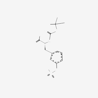 CC(C)(C)OC(=O)N[C@@H](Cc1cccc(OS(=O)(=O)F)c1)C(=O)O